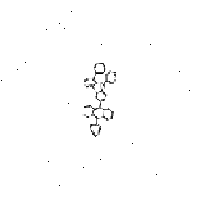 c1ccc(-c2c3ccccc3c(-c3ccc4c(c3)c3cccc(-c5ccccc5)c3n4-c3ccccc3)c3ccccc23)cc1